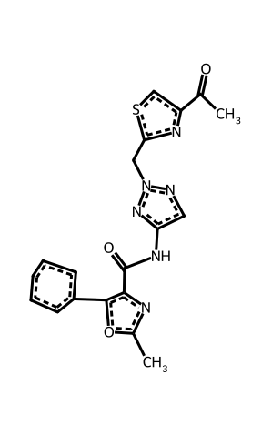 CC(=O)c1csc(Cn2ncc(NC(=O)c3nc(C)oc3-c3ccccc3)n2)n1